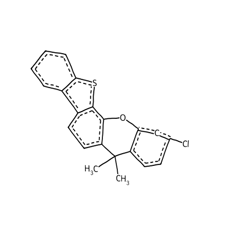 CC1(C)c2ccc(Cl)cc2Oc2c1ccc1c2sc2ccccc21